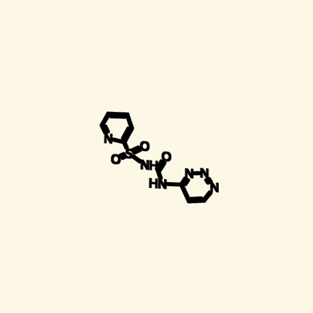 O=C(Nc1ccnnn1)NS(=O)(=O)c1ccccn1